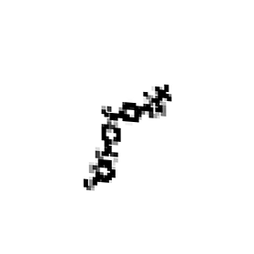 Cn1c(-c2ccc(C(=O)N3CCN(c4nc5nc(Cl)ccc5o4)CC3)cc2)nnc1C(C)(C)C